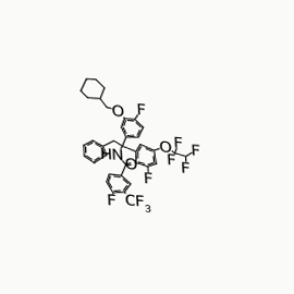 O=C(NC(Cc1ccccc1)(c1cc(F)cc(OC(F)(F)C(F)F)c1)c1ccc(F)c(OCC2CCCCC2)c1)c1ccc(F)c(C(F)(F)F)c1